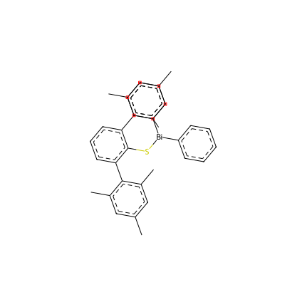 Cc1cc(C)c(-c2cccc(-c3c(C)cc(C)cc3C)c2[S][Bi]([c]2ccccc2)[c]2ccccc2)c(C)c1